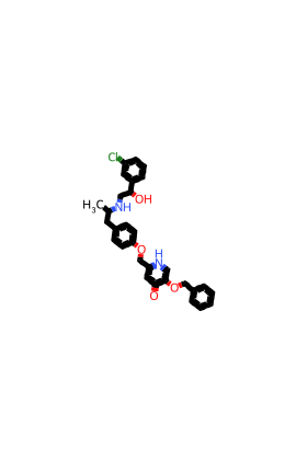 CC(Cc1ccc(OCc2cc(=O)c(OCc3ccccc3)c[nH]2)cc1)NCC(O)c1cccc(Cl)c1